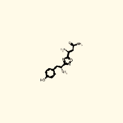 NC(=O)C[C@H](N)c1nc([C@@H](N)Cc2ccc(O)cc2)no1